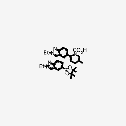 CCn1cc2cc(B3OC(C)(C)C(C)(C)O3)ccc2n1.CCn1cc2cc(C3=CCC(C)CN3C(=O)O)ccc2n1